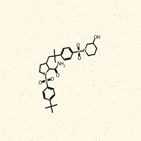 CC(C)(C)c1ccc(S(=O)(=O)N2CCC(CC(C)(C)c3ccc(S(=O)(=O)N4CCCC(O)C4)cc3)C2C(N)=O)cc1